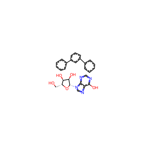 OC[C@H]1O[C@@H](n2cnc3c(O)ncnc32)[C@H](O)[C@@H]1O.c1ccc(-c2cccc(-c3ccccc3)c2)cc1